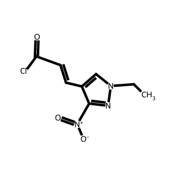 CCn1cc(/C=C/C(=O)Cl)c([N+](=O)[O-])n1